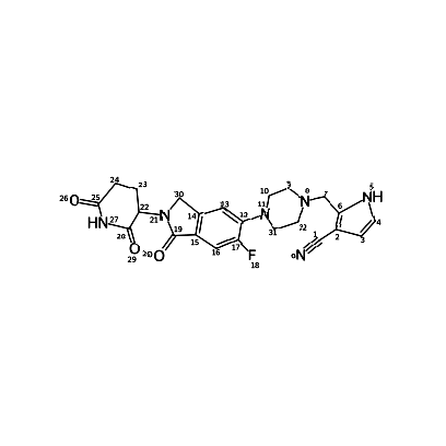 N#Cc1cc[nH]c1CN1CCN(c2cc3c(cc2F)C(=O)N(C2CCC(=O)NC2=O)C3)CC1